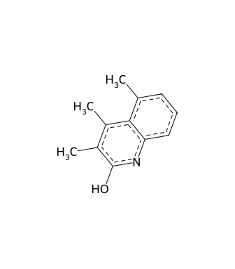 Cc1c(O)nc2cccc(C)c2c1C